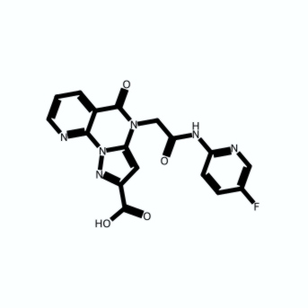 O=C(Cn1c(=O)c2cccnc2n2nc(C(=O)O)cc12)Nc1ccc(F)cn1